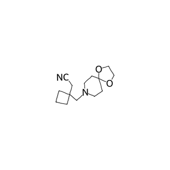 N#CCC1(CN2CCC3(CC2)OCCO3)CCC1